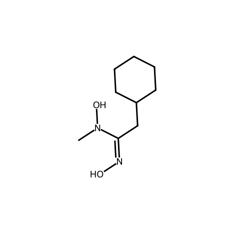 CN(O)/C(CC1CCCCC1)=N\O